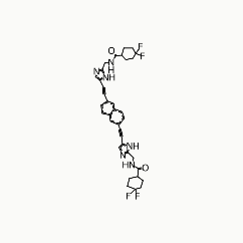 O=C(NCc1ncc(C#Cc2ccc3cc(C#Cc4cnc(CNC(=O)C5CCC(F)(F)CC5)[nH]4)ccc3c2)[nH]1)C1CCC(F)(F)CC1